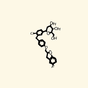 OCC1OC(c2ccc(Cl)c(Cc3ccc(OCC4Cc5cc(F)ccc5O4)cc3)c2)CC(O)[C@@H]1O